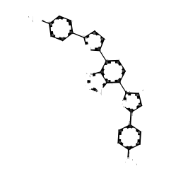 N#Cc1ccc(-c2ccc(-c3ccc(-c4ccc(-c5ccc(C#N)cc5)s4)c4nsnc34)s2)cc1